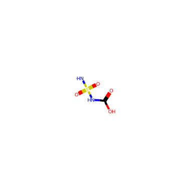 [NH]S(=O)(=O)NC(=O)O